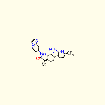 CCC(C(=O)Nc1ccn2ccnc2c1)=C1CCC(c2ccc(C(F)(F)F)nc2N)CC1